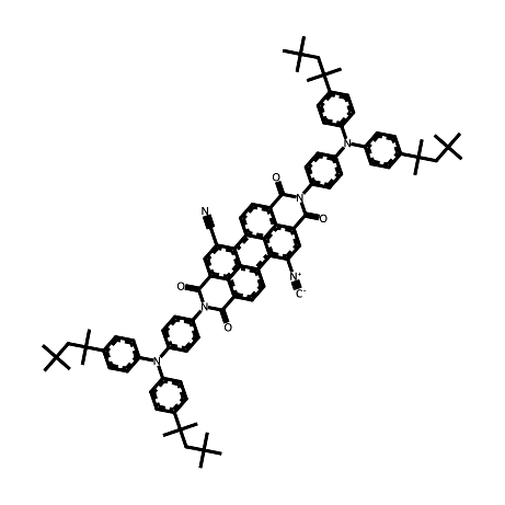 [C-]#[N+]c1cc2c3c(ccc4c5c(C#N)cc6c7c(ccc(c1c34)c75)C(=O)N(c1ccc(N(c3ccc(C(C)(C)CC(C)(C)C)cc3)c3ccc(C(C)(C)CC(C)(C)C)cc3)cc1)C6=O)C(=O)N(c1ccc(N(c3ccc(C(C)(C)CC(C)(C)C)cc3)c3ccc(C(C)(C)CC(C)(C)C)cc3)cc1)C2=O